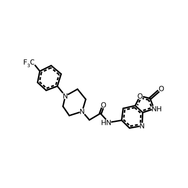 O=C(CN1CCN(c2ccc(C(F)(F)F)cc2)CC1)Nc1cnc2[nH]c(=O)oc2c1